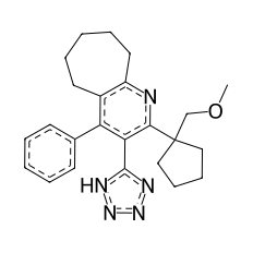 COCC1(c2nc3c(c(-c4ccccc4)c2-c2nnn[nH]2)CCCCC3)CCCC1